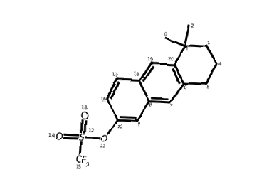 CC1(C)CCCc2cc3cc(OS(=O)(=O)C(F)(F)F)ccc3cc21